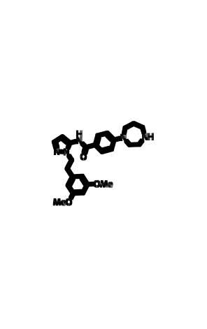 COc1cc(CCn2nccc2NC(=O)c2ccc(N3CCCNCC3)cc2)cc(OC)c1